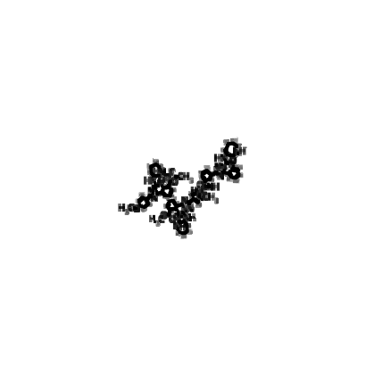 COC(=O)c1cccc2c1nc(N[C@@H]1CCCCNC1=O)n1nc(-c3cnn(C)c3)nc21.COc1ccc(-c2nc3c4cccc(C(=O)OC(C)C)c4nc(N[C@@H]4CCCCNC4=O)n3n2)cc1.CS(=N)(=O)c1cccc(-c2nc3c4ccccc4nc(N[C@@H]4CCCCNC4=O)n3n2)c1